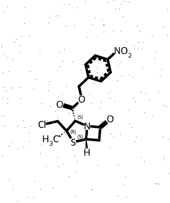 C[C@@]1(CCl)S[C@H]2CC(=O)N2[C@H]1C(=O)OCc1ccc([N+](=O)[O-])cc1